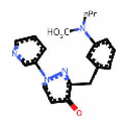 CCCN(C(=O)O)c1cccc(Cc2nn(-c3cccnc3)ccc2=O)c1